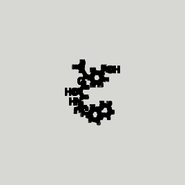 CC(C)(Cc1ccc2ccccc2c1)NC[C@@H](O)COC(c1cccc(CO)c1)C1CC1